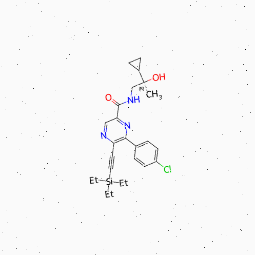 CC[Si](C#Cc1ncc(C(=O)NC[C@](C)(O)C2CC2)nc1-c1ccc(Cl)cc1)(CC)CC